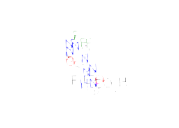 CC1CC2CC(C)C(NC(=O)c3cnc(-c4cn(C5CCC(F)(F)CC5)c5cc(O[C@@H]6CCN(c7ncc(F)cn7)C6)ccc45)nc3C(F)(F)F)(C(=O)O)C(C1)C2